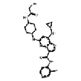 O=C(CO)NC1CCC(Nc2cc(NC3CC3)c3ncc(C(=O)Nc4ccncc4F)n3n2)CC1